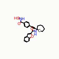 O=C(NO)c1ccc(C#CC2(NC(=O)c3cc4ccccc4o3)CCCCCC2)cc1